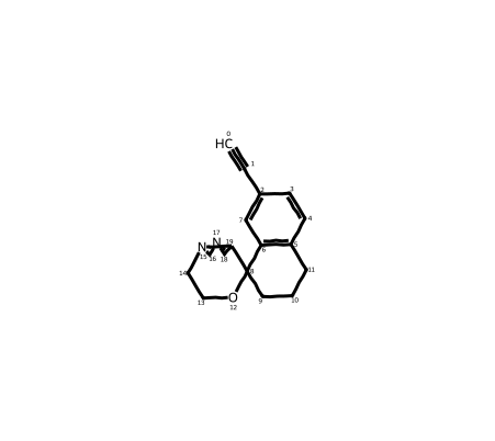 C#Cc1ccc2c(c1)C1(CCC2)OCCn2cncc21